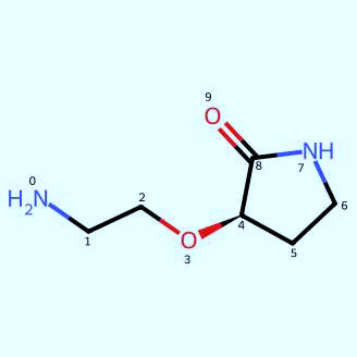 NCCO[C@@H]1CCNC1=O